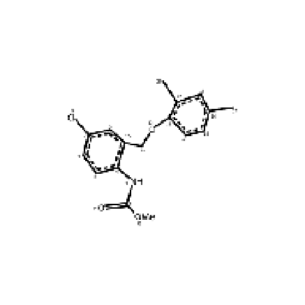 COC(=O)Nc1ccc(Cl)cc1COc1ccc(C)cc1C